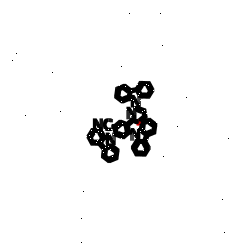 N#Cc1cc(-c2cccc(-n3c4ccccc4c4ccccc43)n2)c(-n2c3ccccc3c3ccccc32)cc1-n1c2ccccc2c2ccccc21